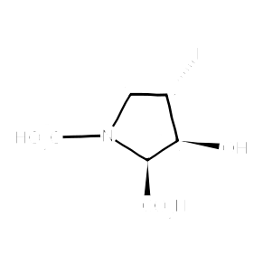 O=C(O)[C@@H]1[C@H](O)[C@@H](F)CN1C(=O)O